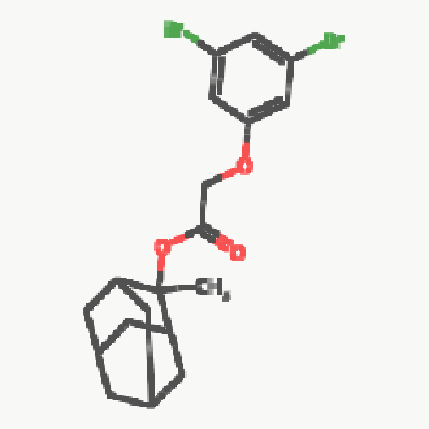 CC1(OC(=O)COc2cc(Br)cc(Br)c2)C2CC3CC(C2)CC1C3